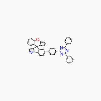 c1ccc(-c2nc(-c3ccccc3)nc(-c3ccc(-c4ccc5c(c4)C4(c6ccccc6Oc6ccccc64)c4cccnc4-5)cc3)n2)cc1